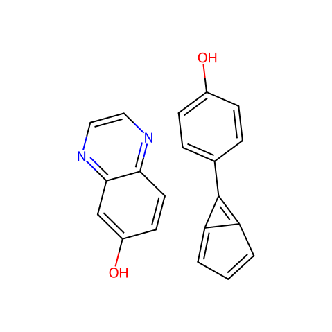 Oc1ccc(-c2c3cccc2-3)cc1.Oc1ccc2nccnc2c1